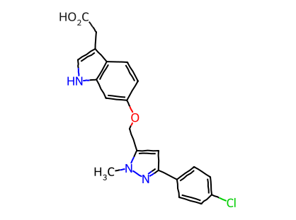 Cn1nc(-c2ccc(Cl)cc2)cc1COc1ccc2c(CC(=O)O)c[nH]c2c1